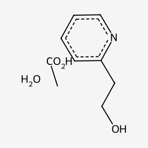 CC(=O)O.O.OCCc1ccccn1